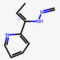 C=NN/C(=C\C)c1ccccn1